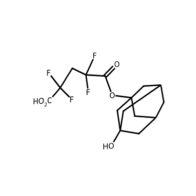 O=C(O)C(F)(F)CC(F)(F)C(=O)OC12CC3CC(CC(O)(C3)C1)C2